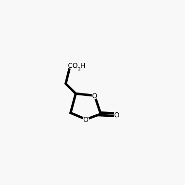 O=C(O)CC1COC(=O)O1